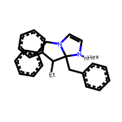 CCCCCCN1C=CN(Cc2ccccc2)C1(Cc1ccccc1)C(CC)c1ccccc1